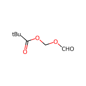 CC(C)(C)C(=O)OCOC=O